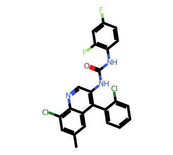 Cc1cc(Cl)c2ncc(NC(=O)Nc3ccc(F)cc3F)c(-c3ccccc3Cl)c2c1